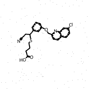 N#CCC(SCCCC(=O)O)c1cccc(OCc2ccc3ccc(Cl)cc3n2)c1